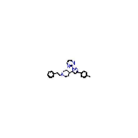 Cc1ccc(-c2cc(C3CCN(CCc4ccccc4)CC3)n(-c3ncccn3)n2)cc1